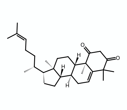 CC(C)=CCC[C@@H](C)[C@H]1CC[C@H]2[C@@H]3CC=C4C(C)(C)C(=O)CC(=O)[C@]4(C)[C@H]3CC[C@]12C